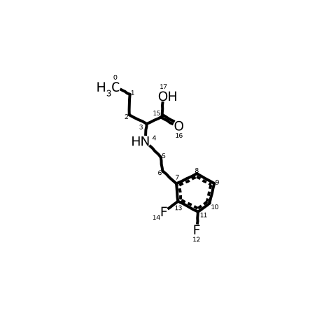 CCCC(NCCc1cccc(F)c1F)C(=O)O